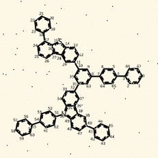 c1ccc(-c2ccc(-c3cc(-c4ccc5sc6c(-c7ccccc7)cccc6c5c4)cc(-c4ccc5c(c4)c4cc(-c6ccccc6)ccc4n5-c4ccc(-c5ccccc5)cc4)c3)cc2)cc1